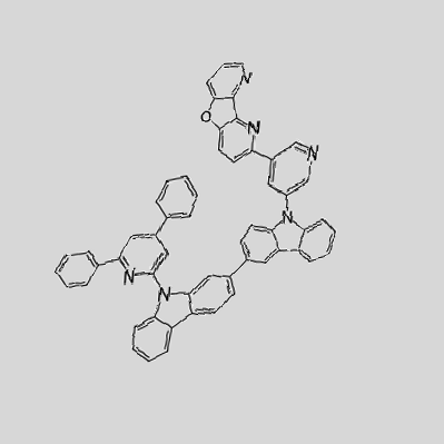 c1ccc(-c2cc(-c3ccccc3)nc(-n3c4ccccc4c4ccc(-c5ccc6c(c5)c5ccccc5n6-c5cncc(-c6ccc7oc8cccnc8c7n6)c5)cc43)c2)cc1